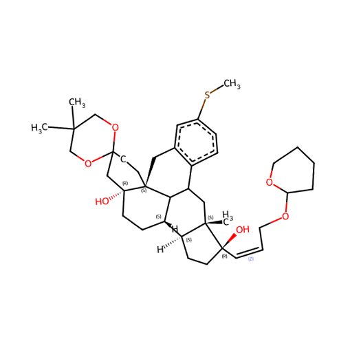 CSc1ccc2c(c1)C[C@]13CCC4(C[C@]1(O)CC[C@@H]1C3C2C[C@@]2(C)[C@H]1CC[C@@]2(O)/C=C\COC1CCCCO1)OCC(C)(C)CO4